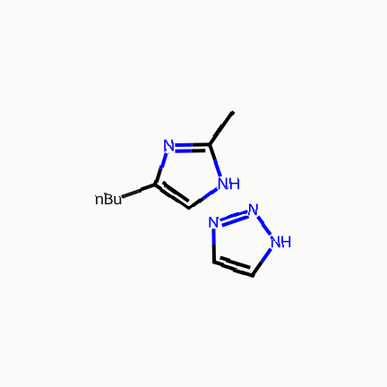 CCCCc1c[nH]c(C)n1.c1c[nH]nn1